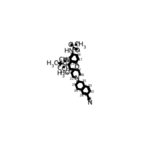 CC(C)(C)[Si](C)(C)[C@@H]1c2cc(NS(C)(=O)=O)ccc2OC2(CCN([C@@H]3CCc4cc(C#N)ccc4C3)CC2)C1O